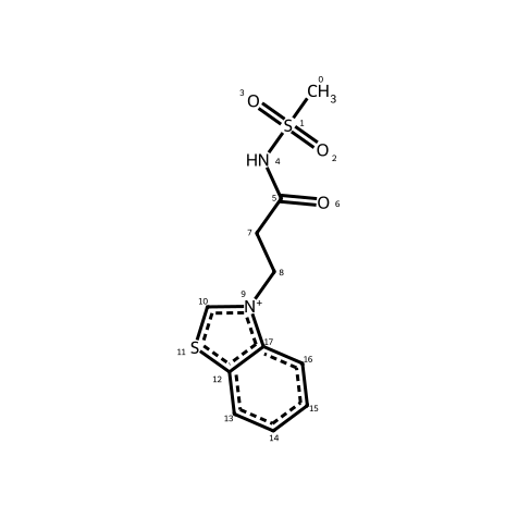 CS(=O)(=O)NC(=O)CC[n+]1csc2ccccc21